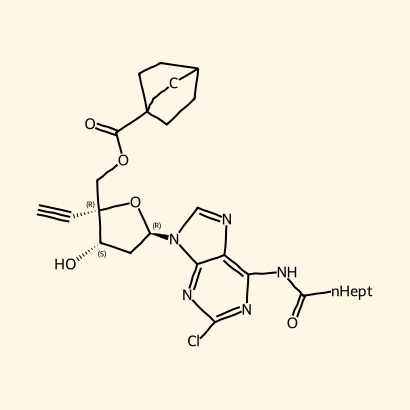 C#C[C@]1(COC(=O)C23CCC(CC2)CC3)O[C@@H](n2cnc3c(NC(=O)CCCCCCC)nc(Cl)nc32)C[C@@H]1O